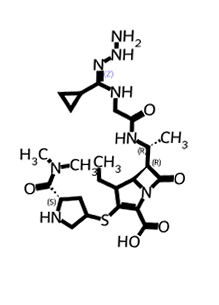 CCC1C(SC2CN[C@H](C(=O)N(C)C)C2)=C(C(=O)O)N2C(=O)[C@H]([C@@H](C)NC(=O)CN/C(=N\NN)C3CC3)C12